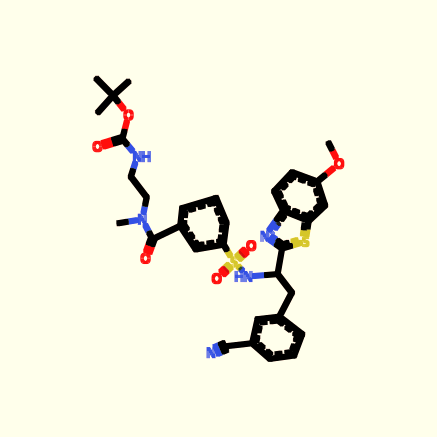 COc1ccc2nc(C(Cc3cccc(C#N)c3)NS(=O)(=O)c3cccc(C(=O)N(C)CCNC(=O)OC(C)(C)C)c3)sc2c1